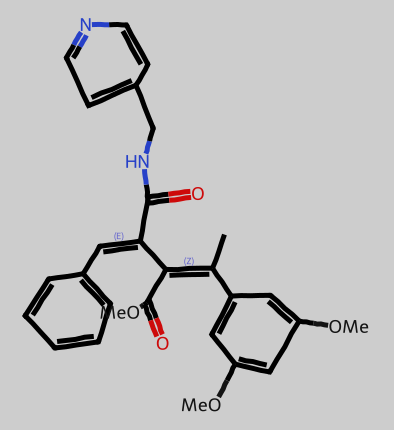 COC(=O)C(=C(/C)c1cc(OC)cc(OC)c1)/C(=C\c1ccccc1)C(=O)NCc1ccncc1